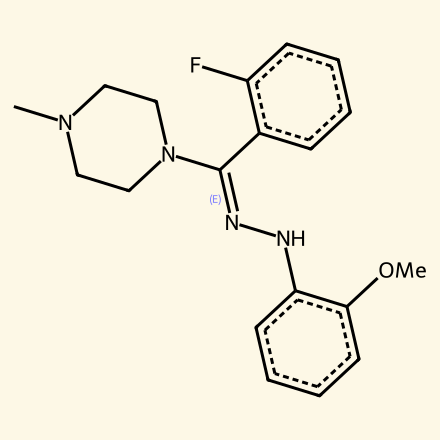 COc1ccccc1N/N=C(\c1ccccc1F)N1CCN(C)CC1